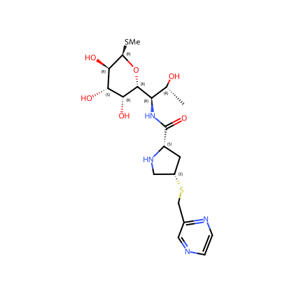 CS[C@H]1O[C@H]([C@H](NC(=O)[C@@H]2C[C@H](SCc3cnccn3)CN2)[C@@H](C)O)[C@H](O)[C@H](O)[C@H]1O